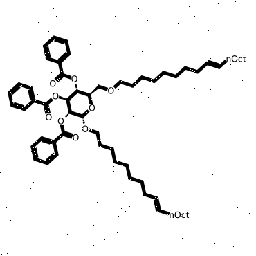 CCCCCCCCC=CCCCCCCCCO[CH][C@H]1O[C@H](OCCCCCCCCC=CCCCCCCCC)[C@H](OC(=O)c2ccccc2)[C@@H](OC(=O)c2ccccc2)[C@@H]1OC(=O)c1ccccc1